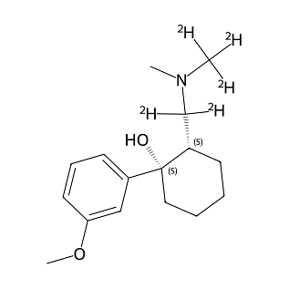 [2H]C([2H])([2H])N(C)C([2H])([2H])[C@@H]1CCCC[C@@]1(O)c1cccc(OC)c1